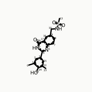 Cc1cc(-c2nc3ccc(CNS(C)(=O)=O)cc3c(=O)[nH]2)cc(C)c1O